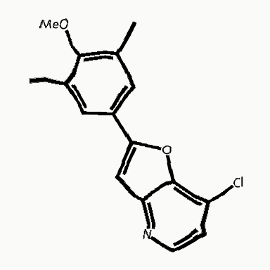 COc1c(C)cc(-c2cc3nccc(Cl)c3o2)cc1C